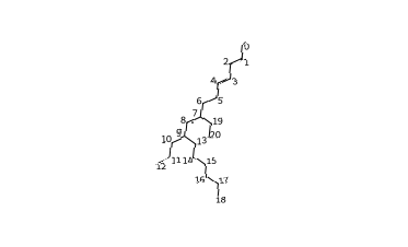 CCCCCCCC([CH]C(CCC)CCCCCC)CC